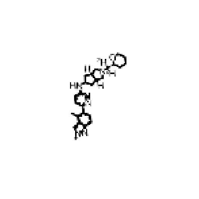 [2H]C([2H])([C@@H]1CCCCO1)N1C[C@H]2CC(Nc3ccc(-c4ccc5nn(C)cc5c4C)nn3)C[C@H]2C1